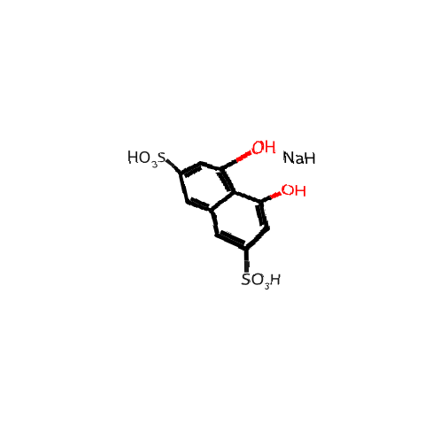 O=S(=O)(O)c1cc(O)c2c(O)cc(S(=O)(=O)O)cc2c1.[NaH]